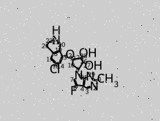 Cc1ncc2c(F)cn([C@@H]3C[C@H](Oc4cc(Cl)cc5c4CNCC5)[C@@H](O)[C@H]3O)c2n1